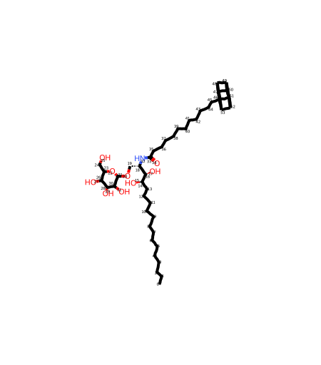 CCCCCCCCCCCCCC[C@@H](O)[C@@H](O)[C@H](COC1OC(CO)C(O)C(O)C1O)NC(=O)CCCCCCCCCCCC12C3C4C5C3C1C5C42